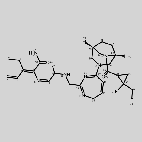 C=C/C(CC)=C(\N=C/C(C)NCC1=NCC=CC(N2C[C@@H]3CC[C@H](C2)N(C(=O)C2CC2(F)CF)C3)=N1)C(N)=O